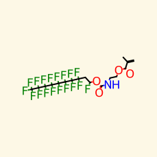 C=C(C)C(=O)OCCNC(=O)OC(F)CC(F)(F)C(F)(F)C(F)(F)C(F)(F)C(F)(F)C(F)(F)C(F)(F)C(F)(F)F